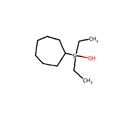 CC[Si](O)(CC)C1CCCCCC1